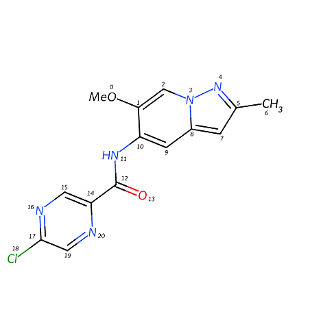 COc1cn2nc(C)cc2cc1NC(=O)c1cnc(Cl)cn1